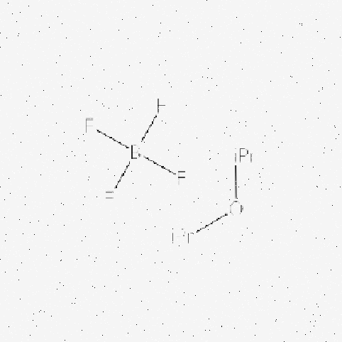 CC(C)OC(C)C.F[B-](F)(F)F